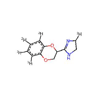 [2H]c1c([2H])c([2H])c2c(c1[2H])OCC(C1=NC([2H])CN1)O2